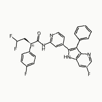 O=C(Nc1cc(-c2[nH]c3cc(F)cnc3c2-c2ccccc2)ccn1)[C@H](CC(F)F)c1ccc(F)cc1